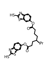 CC(C)C(CCCC(=O)Oc1ccc2nc(S)sc2c1)CCC(=O)Oc1ccc2nc(S)sc2c1